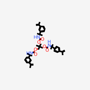 C=C(C)c1ccc(C(C)(C)NC(=O)OCC(C)(COC(=O)NC(C)(C)c2cccc(C(=C)C)c2)COC(=O)NC(C)(C)c2cccc(C(=C)C)c2)cc1